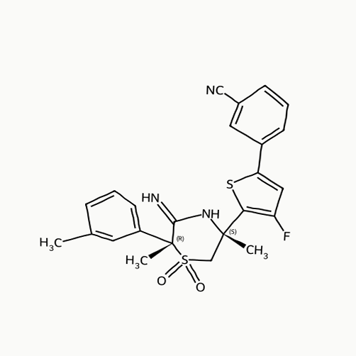 Cc1cccc([C@]2(C)C(=N)N[C@](C)(c3sc(-c4cccc(C#N)c4)cc3F)CS2(=O)=O)c1